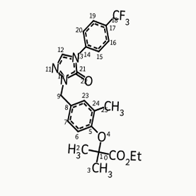 CCOC(=O)C(C)(C)Oc1ccc(Cn2ncn(-c3ccc(C(F)(F)F)cc3)c2=O)cc1C